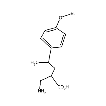 CCOc1ccc(C(C)CC(CN)C(=O)O)cc1